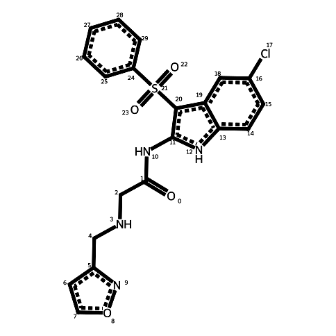 O=C(CNCc1ccon1)Nc1[nH]c2ccc(Cl)cc2c1S(=O)(=O)c1ccccc1